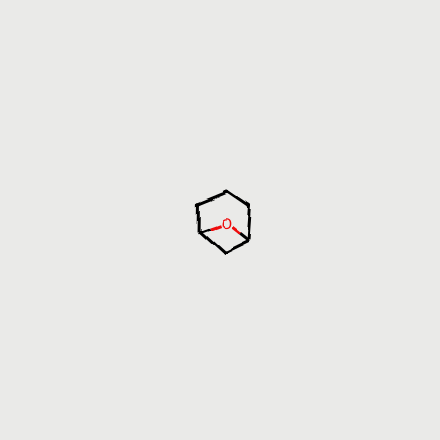 C1CC2CC(C1)O2